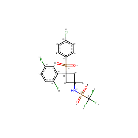 CC1(NS(=O)(=O)C(F)(F)F)CC(c2cc(F)ccc2F)(S(=O)(=O)c2ccc(Cl)cc2)C1